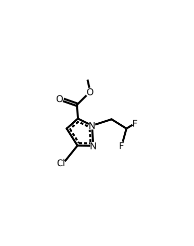 COC(=O)c1cc(Cl)nn1CC(F)F